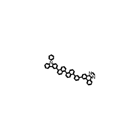 c1ccc(-n2c3ccccc3c3cc(-c4cccc5c(-c6cccc7c(-c8cccc(-c9ccc%10c(c9)c9ccccc9c9nccnc%109)c8)cccc67)cccc45)ccc32)cc1